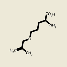 C=C(C)COCCCC(N)C(=O)O